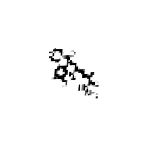 C=N/C(=C\C=C(/C)C(=O)NN)CN(C(=O)N1CCOCC1)c1ccc(F)c(Cl)c1